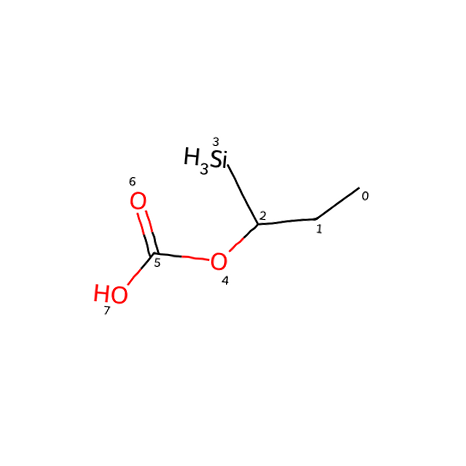 CCC([SiH3])OC(=O)O